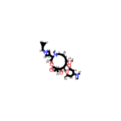 CO[C@]1(C)C[C@@H](C)CN(C)C(C2CN(CC3CC3)C2)[C@@H](C)OC(=O)C(C)(C)C(=O)[C@H](C)[C@H]1O[C@H]1C[C@@H](N(C)C)C[C@@H](C)O1